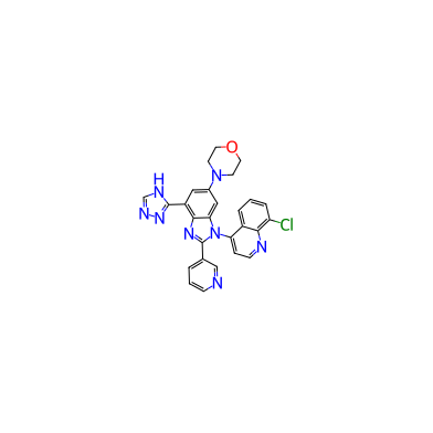 Clc1cccc2c(-n3c(-c4cccnc4)nc4c(-c5nnc[nH]5)cc(N5CCOCC5)cc43)ccnc12